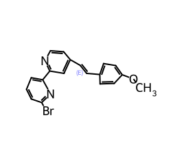 COc1ccc(/C=C/c2ccnc(-c3cccc(Br)n3)c2)cc1